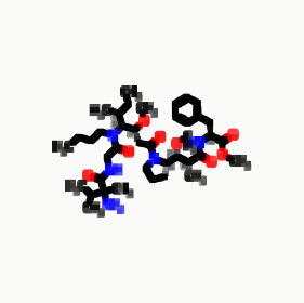 CCCCN(C(=O)CNC(=O)C(C)(N)C(C)C)[C@@H]([C@@H](C)CC)[C@@H](CC(=O)N1CCC[C@H]1[C@H](OC)[C@@H](C)C(=O)N[C@@H](Cc1ccccc1)C(=O)OC)OC